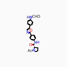 CC(=O)N1CCC[C@H]1C(=O)Nc1ccc(-c2ncc(-c3ccc(NC=O)cc3)o2)cc1